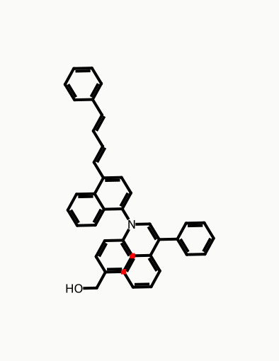 OCc1ccc(N(C=C(c2ccccc2)c2ccccc2)c2ccc(C=CC=Cc3ccccc3)c3ccccc23)cc1